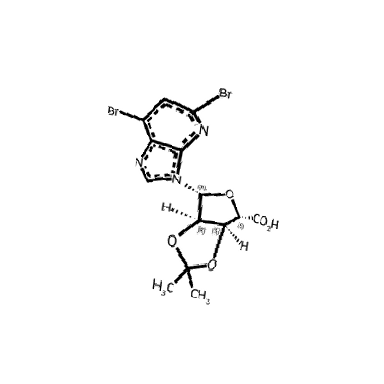 CC1(C)O[C@@H]2[C@H](O1)[C@@H](C(=O)O)O[C@H]2n1cnc2c(Br)cc(Br)nc21